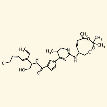 C=C/C(=C\C=C/CCl)C(CO)NC(=O)c1ccn(C2=NC(N[C@H]3/C=C\C(=C)OC(C)(C)OCC3)=NC[C@H]2C)c1